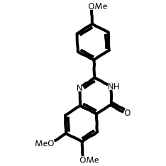 COc1ccc(-c2nc3cc(OC)c(OC)cc3c(=O)[nH]2)cc1